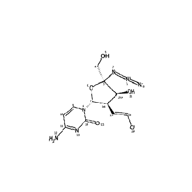 [N-]=[N+]=N[C@]1(CO)O[C@@H](n2ccc(N)nc2=O)[C@H](C=CCl)[C@@H]1O